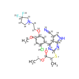 CCOC(=O)C(C)Sc1nc(-c2cc(OCCN3CCC(F)(F)C3)c(OC)cc2Cl)c2c(C#N)c[nH]c2n1